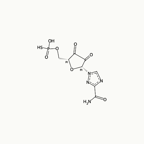 NC(=O)c1ncn([C@@H]2O[C@H](COP(=O)(O)S)C(=O)C2=O)n1